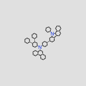 c1ccc(-c2ccc(N(c3ccc(-c4ccc5c6ccc7ccccc7c6n(-c6ccccc6)c5c4)cc3)c3cc4ccccc4c4ccccc34)cc2-c2ccccc2)cc1